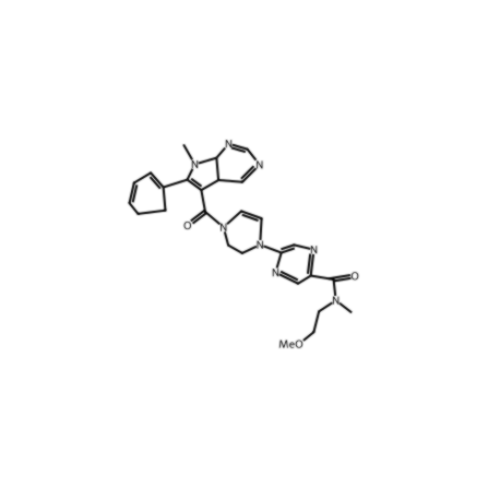 COCCN(C)C(=O)c1cnc(N2C=CN(C(=O)C3=C(C4=CC=CCC4)N(C)C4N=CN=CC34)CC2)cn1